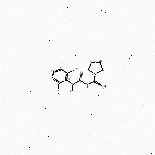 CN(C(=N)NC(=N)N1CCCC1)c1c(F)cccc1F